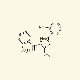 Cc1cn(-c2ccccc2C#N)nc1Nc1cnccc1C(=O)O